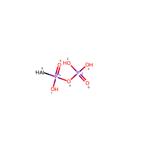 O=P(O)(O)O[P](=O)(O)[AlH]